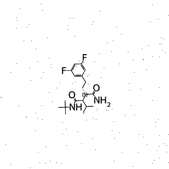 CC(C)C(C(=O)NC(C)(C)C)[C@H](CCc1cc(F)cc(F)c1)C(N)=O